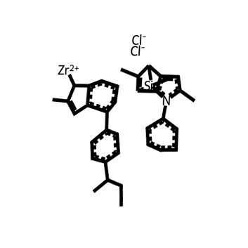 CC1=C2c3c(cc(C)n3-c3ccccc3)C1[Si]2(C)C.CCC(C)c1ccc(-c2cccc3c2C=C(C)[CH]3[Zr+2])cc1.[Cl-].[Cl-]